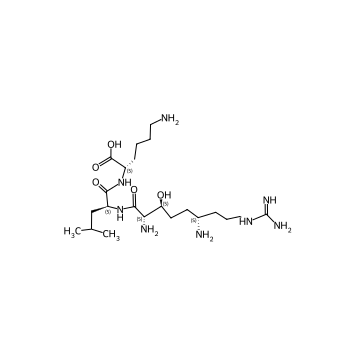 CC(C)C[C@H](NC(=O)[C@@H](N)[C@@H](O)CC[C@@H](N)CCCNC(=N)N)C(=O)N[C@@H](CCCCN)C(=O)O